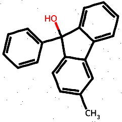 Cc1ccc2c(c1)-c1ccccc1C2(O)c1ccccc1